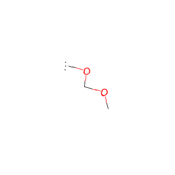 [C]OCOC